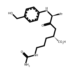 CC(C)[C@H](Nc1ccc(CO)cc1)C(=O)C[C@@H](CCCNC(N)=O)C(=O)O